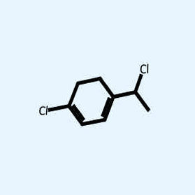 CC(Cl)C1=CC=C(Cl)CC1